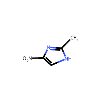 O=[N+]([O-])c1c[nH]c(C(F)(F)F)n1